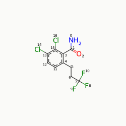 NC(=O)c1c([CH]CC(F)(F)F)ccc(Cl)c1Cl